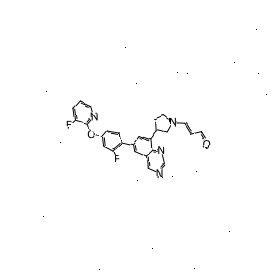 O=CC=CN1CCC(c2cc(-c3ccc(Oc4ncccc4F)cc3F)cc3cncnc23)C1